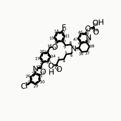 O=C(O)CCCCN(CCc1cc(F)ccc1OCc1ccc(-c2nc3cc(Cl)ccc3o2)cc1)C1CCCc2nc(OC(=O)O)ccc21